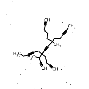 C#CCCCC(C)(C#CC(CC#CCC)(CCC#C)C(C)C#C)CCC#CC